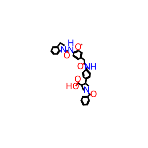 COc1cc(CC(=O)Nc2ccc(C3CN(C(=O)c4ccccc4)CC3C(=O)O)cc2)ccc1NC(=O)N1CCc2ccccc21